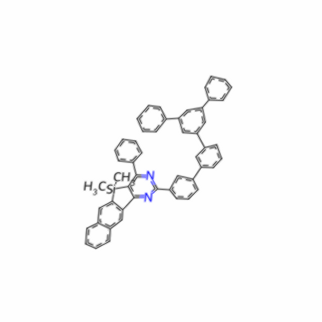 C[Si]1(C)c2cc3ccccc3cc2-c2nc(-c3cccc(-c4cccc(-c5cc(-c6ccccc6)cc(-c6ccccc6)c5)c4)c3)nc(-c3ccccc3)c21